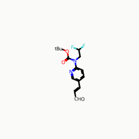 CC(C)(C)OC(=O)N(CC(F)F)c1ccc(/C=C/C=O)cn1